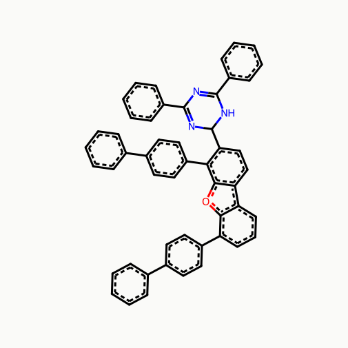 c1ccc(C2=NC(c3ccc4c(oc5c(-c6ccc(-c7ccccc7)cc6)cccc54)c3-c3ccc(-c4ccccc4)cc3)NC(c3ccccc3)=N2)cc1